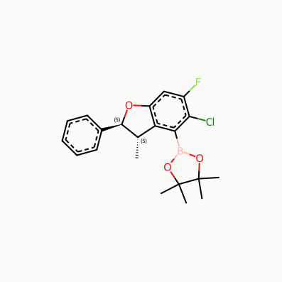 C[C@H]1c2c(cc(F)c(Cl)c2B2OC(C)(C)C(C)(C)O2)O[C@@H]1c1ccccc1